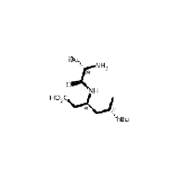 CCCC[C@@H](C)C[C@@H](CC(=O)O)NC(=O)[C@@H](N)C(C)CC